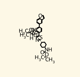 CC(C)OC(=O)N[C@H]1CC[C@H](c2ncc(-c3ccc(-c4ccc5occc5c4)cc3S(=O)(=O)NC(C)(C)C)s2)CC1